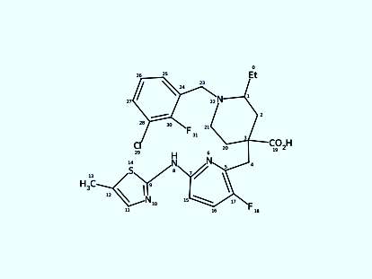 CCC1CC(Cc2nc(Nc3ncc(C)s3)ccc2F)(C(=O)O)CCN1Cc1cccc(Cl)c1F